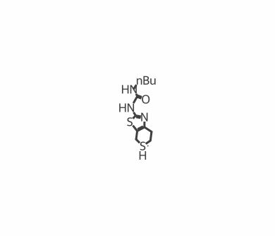 CCCCNC(=O)Nc1nc2c(s1)C[SH]CC2